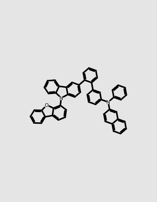 c1ccc(N(c2cccc(-c3ccccc3-c3ccc4c(c3)c3ccccc3n4-c3cccc4c3oc3ccccc34)c2)c2ccc3ccccc3c2)cc1